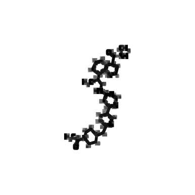 CNC(=O)c1ccnc2c(C(C)CNc3cc(-c4ccc(CC5CCN(C(C)=O)CC5)nc4)ncn3)cccc12